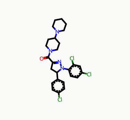 O=C(C1=NN(c2ccc(Cl)cc2Cl)C(c2ccc(Cl)cc2)C1)N1CCC(N2CCCCC2)CC1